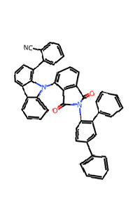 N#Cc1ccccc1-c1cccc2c3ccccc3n(-c3cccc4c3C(=O)N(c3ccc(-c5ccccc5)cc3-c3ccccc3)C4=O)c12